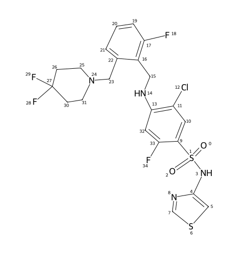 O=S(=O)(Nc1cscn1)c1cc(Cl)c(NCc2c(F)cccc2CN2CCC(F)(F)CC2)cc1F